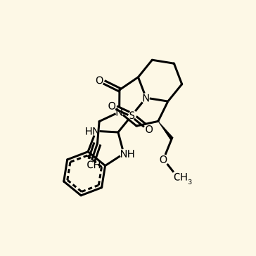 C#CCN1C[C@H](COC)C2CCCC(C1=O)N2S(=O)(=O)C1Nc2ccccc2N1